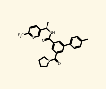 Cc1ccc(-c2cc(C(=O)N[C@H](C)c3ccc(C(F)(F)F)nc3)cc(C(=O)N3CCCC3)c2)cc1